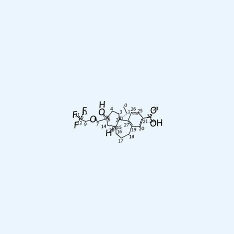 CC[C@@]12CC[C@](O)(COCC(F)(F)F)C[C@@H]1CCCc1cc(C(=O)O)ccc12